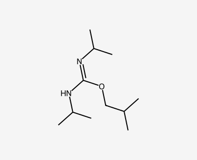 CC(C)CO/C(=N\C(C)C)NC(C)C